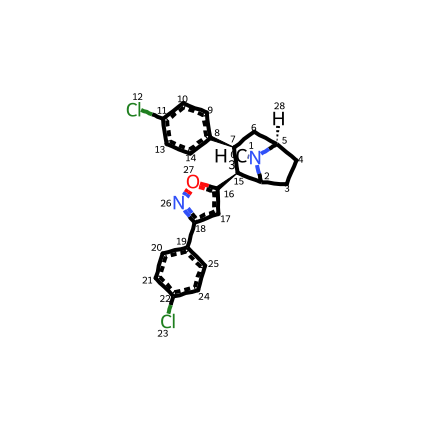 CN1C2CC[C@@H]1C[C@H](c1ccc(Cl)cc1)[C@@H]2c1cc(-c2ccc(Cl)cc2)no1